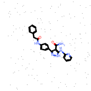 NC(=O)c1c(-c2ccc(NC(=O)Cc3ccccc3)cc2)n[nH]c1Nc1ccccn1